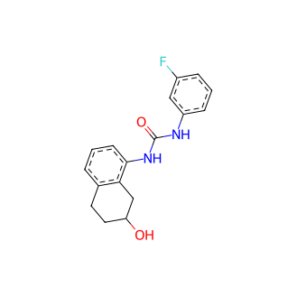 O=C(Nc1cccc(F)c1)Nc1cccc2c1CC(O)CC2